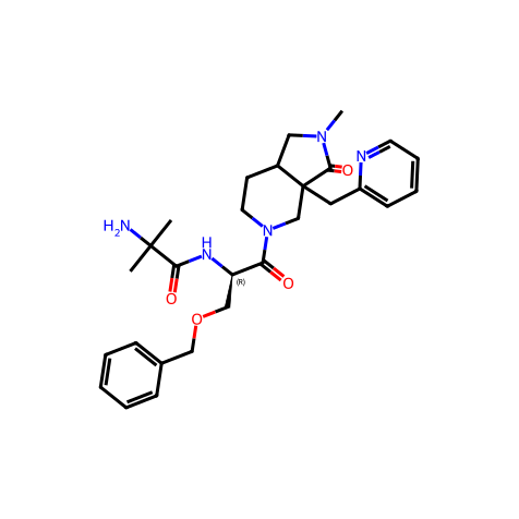 CN1CC2CCN(C(=O)[C@@H](COCc3ccccc3)NC(=O)C(C)(C)N)CC2(Cc2ccccn2)C1=O